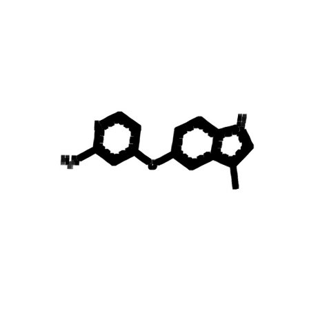 Cc1c[nH]c2ccc(Oc3ccnc(N)c3)cc12